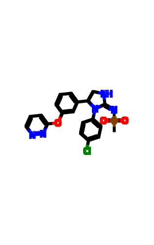 CS(=O)(=O)N=C1NCC(c2cccc(Oc3cccnn3)c2)N1c1ccc(Cl)cc1